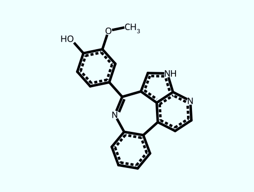 COc1cc(C2=Nc3ccccc3-c3ccnc4[nH]cc2c34)ccc1O